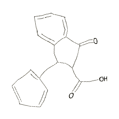 O=C(O)C1C(=O)c2ccccc2C1c1ccccc1